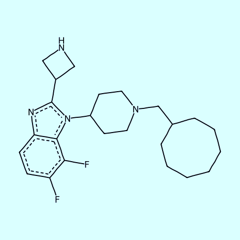 Fc1ccc2nc(C3CNC3)n(C3CCN(CC4CCCCCCC4)CC3)c2c1F